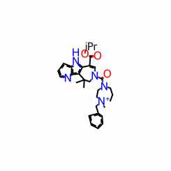 CC(C)OC(=O)C1=CN(C(=O)N2CCC[N+](C)(Cc3ccccc3)CC2)CC(C)(C)c2c1[nH]c1cccnc21